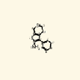 Nc1sc2c(c1-c1[c]cccc1)CCSC2